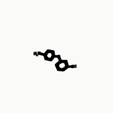 Nc1ccc(Oc2cccc(S)c2)cc1